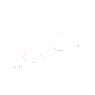 NC(=O)CC[CH]c1cc(F)cc(Br)c1